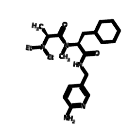 CCN(CC)[C@@H](C)C(=O)N(C)[C@@H](CC1CCCCC1)C(=O)NCc1ccc(N)nc1